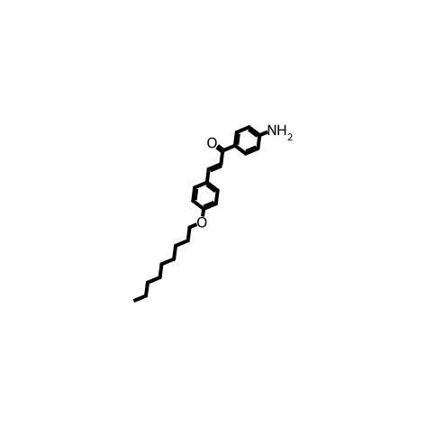 CCCCCCCCCOc1ccc(/C=C/C(=O)c2ccc(N)cc2)cc1